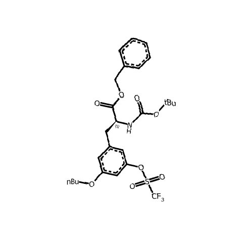 CCCCOc1cc(C[C@H](NC(=O)OC(C)(C)C)C(=O)OCc2ccccc2)cc(OS(=O)(=O)C(F)(F)F)c1